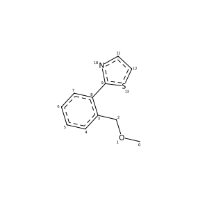 COCc1ccccc1-c1n[c]cs1